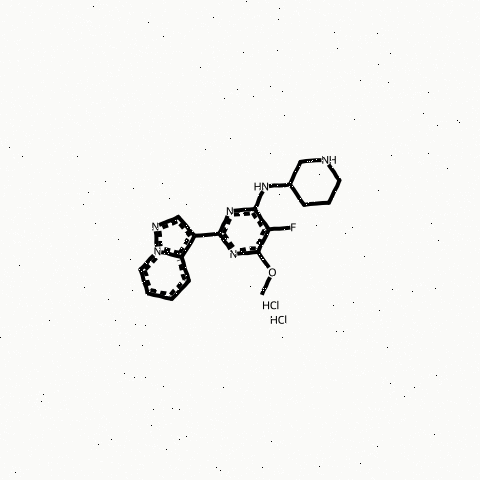 COc1nc(-c2cnn3ccccc23)nc(NC2CCCNC2)c1F.Cl.Cl